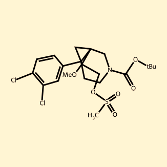 COC(COS(C)(=O)=O)C12CN(C(=O)OC(C)(C)C)CCC1(c1ccc(Cl)c(Cl)c1)C2